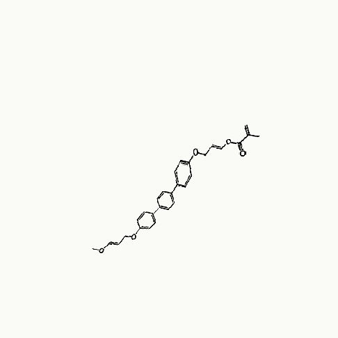 C=C(C)C(=O)O/C=C/COc1ccc(-c2ccc(-c3ccc(OC/C=C/OC)cc3)cc2)cc1